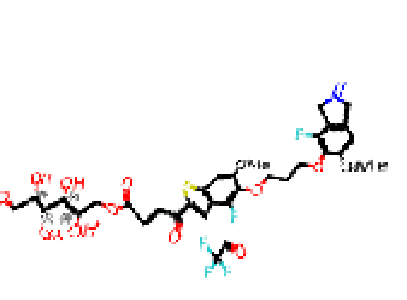 COc1cc2c(c(F)c1OCCCOc1c(OC)cc3sc(C(=O)CCC(=O)OC[C@@H](O)[C@@H](O)[C@H](O)[C@H](O)CO)cc3c1F)CNC2.O=CC(F)(F)F